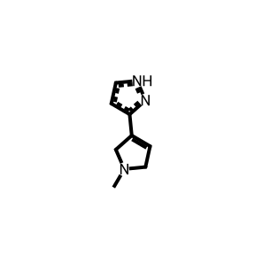 CN1CC=C(c2cc[nH]n2)C1